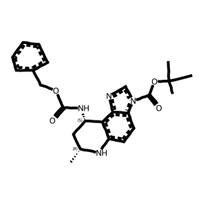 C[C@@H]1C[C@H](NC(=O)OCc2ccccc2)c2c(ccc3c2ncn3C(=O)OC(C)(C)C)N1